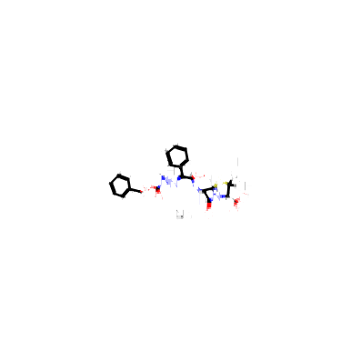 CN(N=C(C(=O)N[C@@H]1C(=O)N2[C@@H]1SC(C)(C)[C@@H]2C(=O)[O-])c1ccccc1)C(=O)OCc1ccccc1.[Na+]